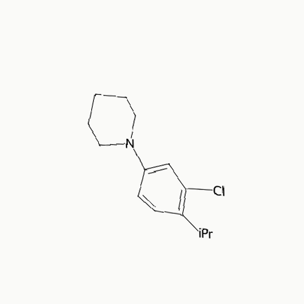 CC(C)c1ccc(N2CCCCC2)cc1Cl